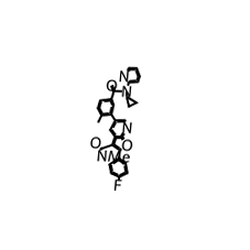 CNC(=O)c1c(-c2ccc(F)cc2)oc2ncc(-c3cc(C(=O)N(c4ccccn4)C4CC4)ccc3C)cc12